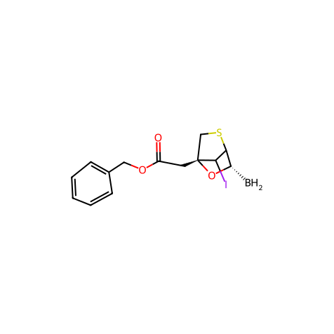 B[C@@H]1O[C@]2(CC(=O)OCc3ccccc3)CSC1C2I